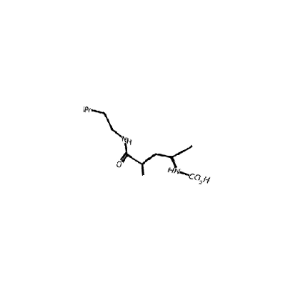 CC(C)CCNC(=O)C(C)CC(C)NC(=O)O